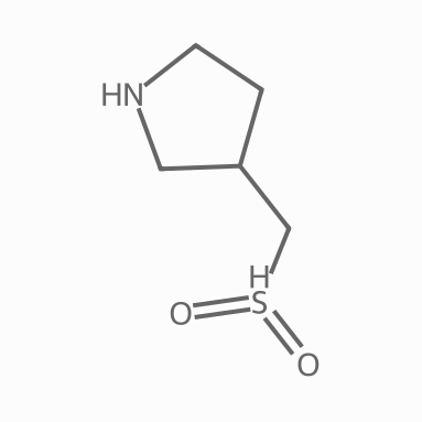 O=[SH](=O)CC1CCNC1